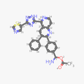 NC(OC(=O)C(F)(F)F)c1ccc(-c2nc3ccnc(-c4nc(-c5cncs5)n[nH]4)c3cc2-c2ccccc2)cc1